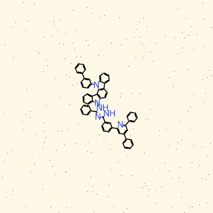 N=C(/N=C(\Nn1c2ccccc2c2c1ccc1c3ccccc3n(-c3cccc(-c4ccccc4)c3)c12)c1ccccc1)c1cccc(-c2cc(-c3ccccc3)cc(-c3ccccc3)n2)c1